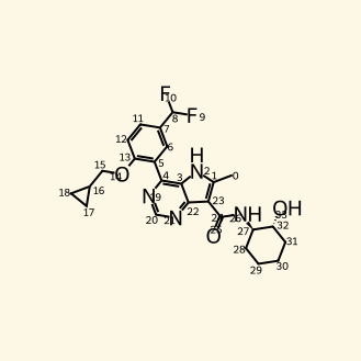 Cc1[nH]c2c(-c3cc(C(F)F)ccc3OCC3CC3)ncnc2c1C(=O)N[C@@H]1CCCC[C@H]1O